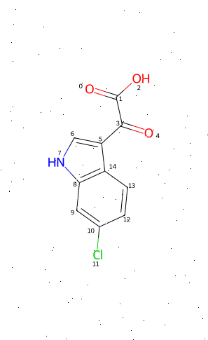 O=C(O)C(=O)c1c[nH]c2cc(Cl)ccc12